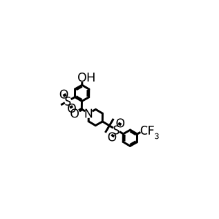 CC(C)(C1CCN(C(=O)c2ccc(O)cc2S(C)(=O)=O)CC1)S(=O)(=O)c1cccc(C(F)(F)F)c1